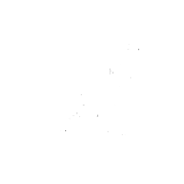 CSc1ccc(Cc2cc3c(c4ccccc24)CN([C@H]2CCCC[C@@H]2O)C3=O)cn1